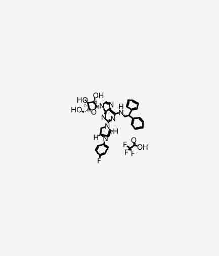 O=C(O)C(F)(F)F.OC[C@H]1O[C@@H](n2cnc3c(NCC(c4ccccc4)c4ccccc4)nc(N4C[C@@H]5C[C@H]4CN5c4ccc(F)cc4)nc32)[C@H](O)[C@@H]1O